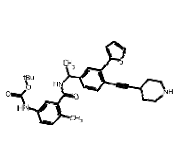 Cc1ccc(NC(=O)OC(C)(C)C)cc1C(=O)NC(C)c1ccc(C#CC2CCNCC2)c(-c2cccs2)c1